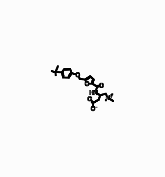 CC(C)(C)c1ccc(OCc2ccc(C(=O)NC(CC(=O)[O-])C[N+](C)(C)C)o2)cc1